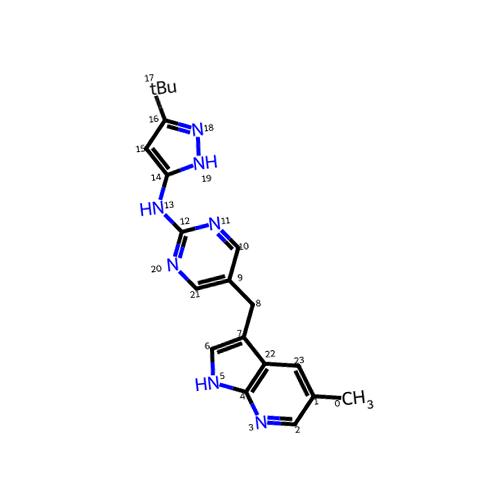 Cc1cnc2[nH]cc(Cc3cnc(Nc4cc(C(C)(C)C)n[nH]4)nc3)c2c1